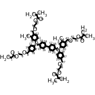 C=CC(=O)OCCOCc1ccc(N(c2ccc(-c3ccc(N(c4ccc(COCCOC(=O)C(=C)C)cc4)c4ccc(COCCOC(=O)C(=C)C)c(C)c4)cc3)cc2)c2ccc(COCCOC(=O)C(=C)C)c(C)c2)cc1